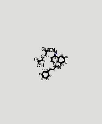 O/N=C1\CCn2c(CCc3ccccc3)nc3cccc1c32.O=C(O)COCC(=O)O